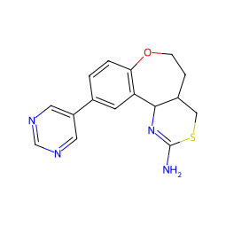 NC1=NC2c3cc(-c4cncnc4)ccc3OCCC2CS1